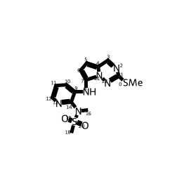 CSc1ncc2ccc(Nc3cccnc3N(C)S(C)(=O)=O)n2n1